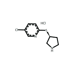 Cl.Clc1ccc(S[C@H]2CCNC2)nc1